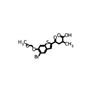 COCOc1cc2sc(C(=O)CC(C)C(=O)O)cc2cc1Br